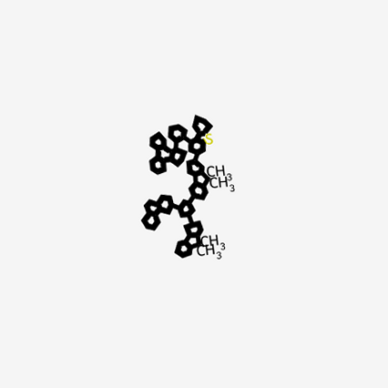 CC1(C)c2ccccc2-c2cc(-c3cc(-c4ccc5c(c4)-c4ccc(-c6cc(-c7ccccc7-c7cccc8c9ccccc9c9ccccc9c78)c7c(c6)sc6ccccc67)cc4C5(C)C)cc(-c4ccc5ccc6ccccc6c5c4)c3)ccc21